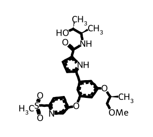 COC[C@H](C)Oc1cc(Oc2ccc(S(C)(=O)=O)nc2)cc(-c2ccc(C(=O)N[C@H](C)[C@@H](C)O)[nH]2)c1